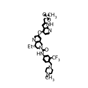 CC[C@H]1CN(C(=O)Nc2ccc(CN3CCN(C)CC3)c(C(F)(F)F)c2)Cc2cc(Oc3ccnc4[nH]c(CS(C)(=O)=O)cc34)cnc21